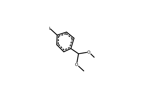 COC(OC)c1ccc(I)cc1